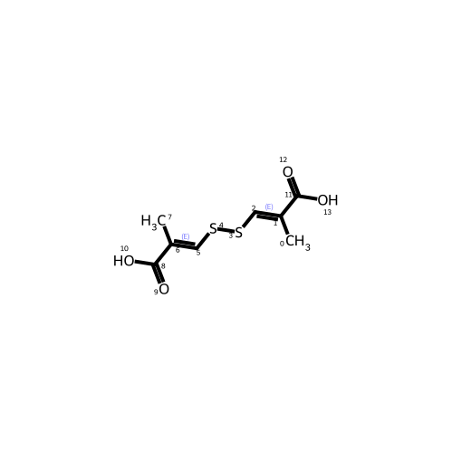 C/C(=C\SS/C=C(\C)C(=O)O)C(=O)O